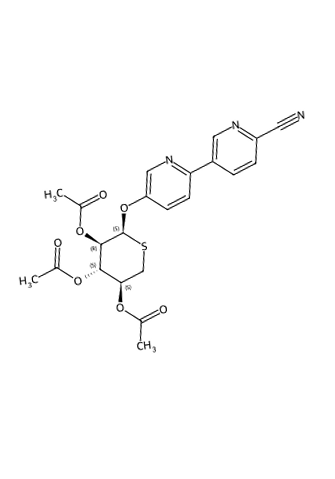 CC(=O)O[C@@H]1[C@@H](OC(C)=O)[C@@H](Oc2ccc(-c3ccc(C#N)nc3)nc2)SC[C@H]1OC(C)=O